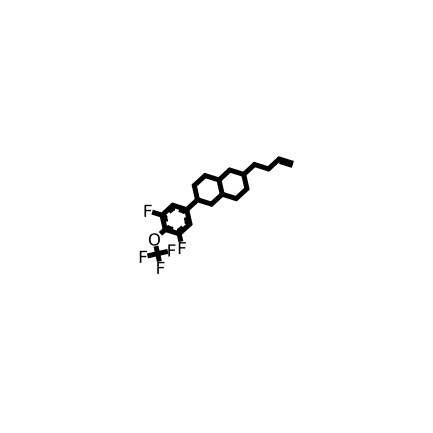 C=CCCC1CCC2CC(c3cc(F)c(OC(F)(F)F)c(F)c3)CCC2C1